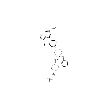 CCOc1cc(-c2ccc(N3CCC(Cc4ccccc4)(NC(=O)N4CCN(C(=O)OC(C)(C)C)CC4)CC3)nc2)c2c(C#N)cnn2c1